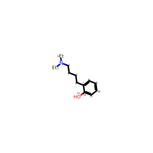 CCN(CC)CCCCc1ccccc1O